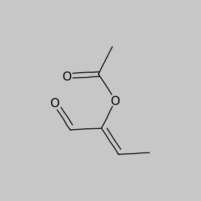 C/C=C(/C=O)OC(C)=O